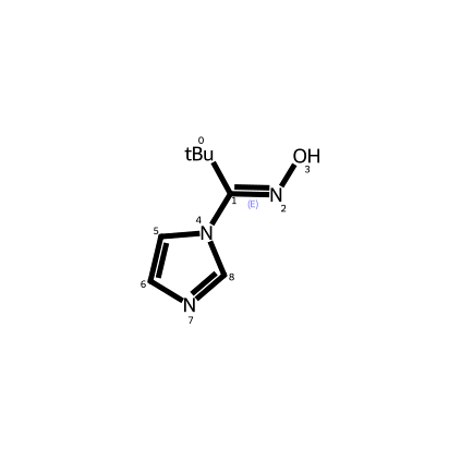 CC(C)(C)/C(=N\O)n1ccnc1